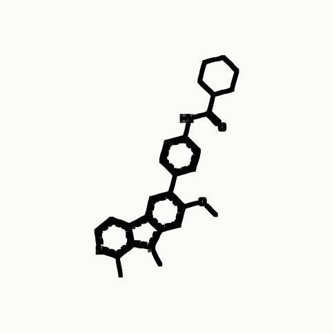 COc1cc2c(cc1-c1ccc(NC(=O)C3CCCCC3)cc1)c1ccnc(C)c1n2C